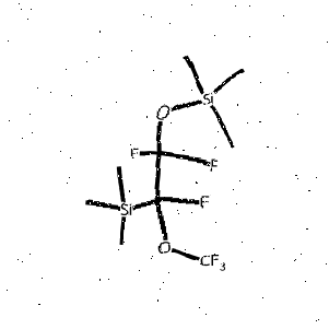 C[Si](C)(C)OC(F)(F)C(F)(OC(F)(F)F)[Si](C)(C)C